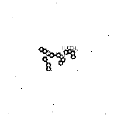 CC1(C)c2ccc(-n3c4ccc(-c5ccc6c(c5)Sc5cc7ccccc7cc5N6c5cccc(-c6ccc7ccccc7c6)c5)cc4c4c5ccccc5ccc43)cc2-c2c1ccc1ccccc21